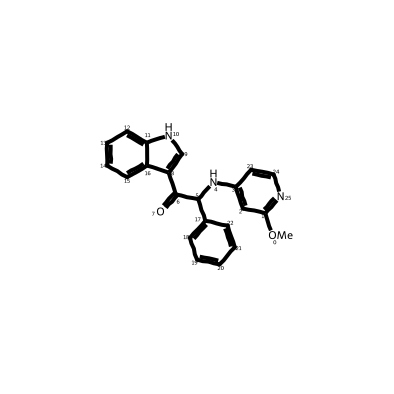 COc1cc(NC(C(=O)c2c[nH]c3ccccc23)c2ccccc2)ccn1